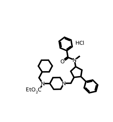 CCOC(=O)N(CC1CCCCC1)C1CCN(CC2CC(N(C)C(=O)c3ccccc3)CC2c2ccccc2)CC1.Cl